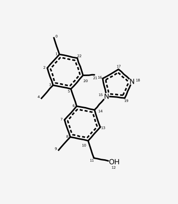 Cc1cc(C)c(-c2cc(C)c(CO)cc2-n2ccnc2)c(C)c1